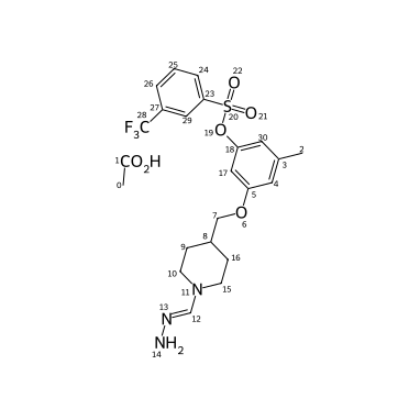 CC(=O)O.Cc1cc(OCC2CCN(C=NN)CC2)cc(OS(=O)(=O)c2cccc(C(F)(F)F)c2)c1